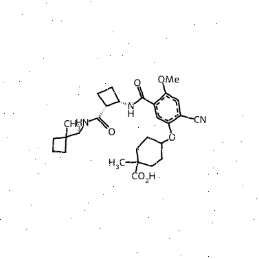 COc1cc(C#N)c(OC2CCC(C)(C(=O)O)CC2)cc1C(=O)N[C@H]1CC[C@H]1C(=O)NCC1(C)CCC1